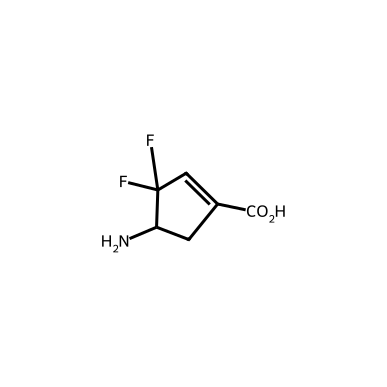 NC1CC(C(=O)O)=CC1(F)F